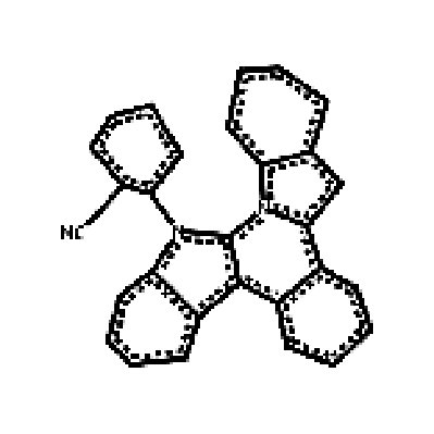 N#Cc1ccccc1-n1c2ccccc2c2c3ccccc3c3cc4ccccc4n3c21